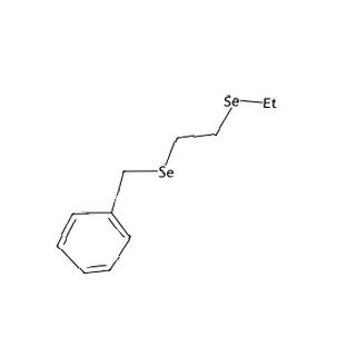 [CH2]C[Se]CC[Se]Cc1ccccc1